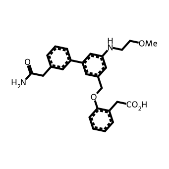 COCCNc1cc(COc2ccccc2CC(=O)O)cc(-c2cccc(CC(N)=O)c2)c1